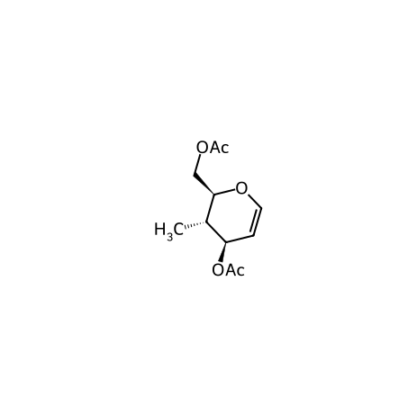 CC(=O)OC[C@H]1OC=C[C@@H](OC(C)=O)[C@@H]1C